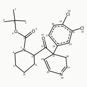 CC(C)(C)OC(=O)N1CCCCC1C(=O)C1(c2ccc(Cl)c(Cl)c2)C=CN=CC1